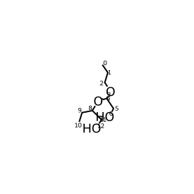 CCCOC(CO)OC(CC)CO